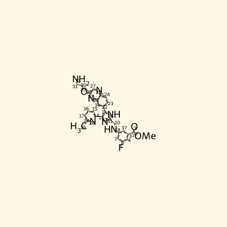 COC(=O)c1cc(F)cc(NCc2nc(-c3cccc(C)n3)c(-c3ccc4ncc(OCCN)nc4c3)[nH]2)c1